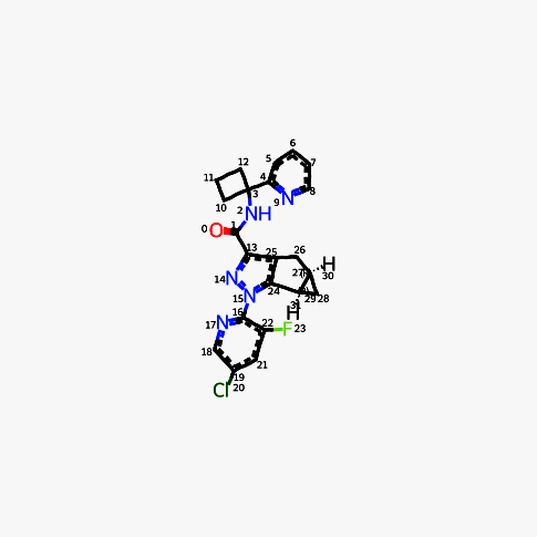 O=C(NC1(c2ccccn2)CCC1)c1nn(-c2ncc(Cl)cc2F)c2c1C[C@H]1C[C@@H]21